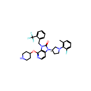 Cc1cccc(F)c1N1CC[C@@H](n2c(=O)n(Cc3ccccc3C(F)(F)F)c3c(OC4CCNCC4)nccc32)C1